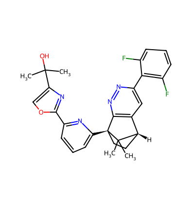 CC(C)(O)c1coc(-c2cccc([C@@]34CC[C@@H](c5cc(-c6c(F)cccc6F)nnc53)C4(C)C)n2)n1